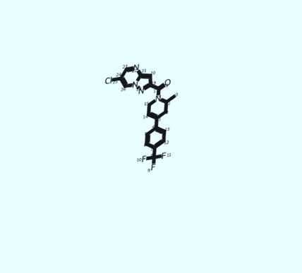 CC1CC(c2ccc(C(F)(F)F)cc2)=CCN1C(=O)c1cc2ncc(Cl)cn2n1